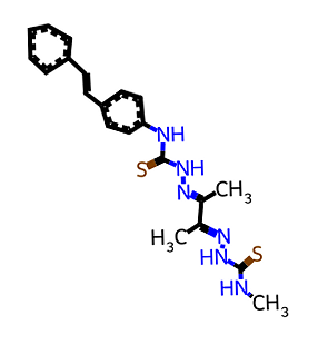 CNC(=S)N/N=C(C)/C(C)=N/NC(=S)Nc1ccc(/C=C/c2ccccc2)cc1